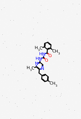 Cc1ccc(Cc2ncc(NC(=O)NC(=O)c3c(C)cccc3C)nc2C)cc1